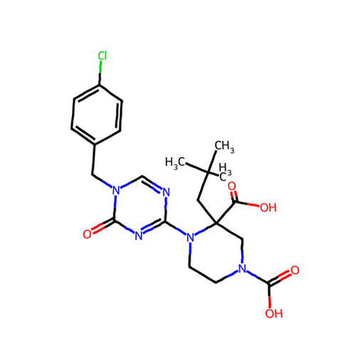 CC(C)(C)CC1(C(=O)O)CN(C(=O)O)CCN1c1ncn(Cc2ccc(Cl)cc2)c(=O)n1